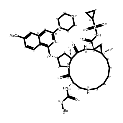 COc1ccc2c(O[C@@H]3C[C@H]4C(=O)N[C@]5(C(=O)NS(=O)(=O)C6CC6)C[C@H]5CCCCCNC[C@H](NC(=O)OC(C)(C)C)C(=O)N4C3)nc(N3CCOCC3)cc2c1